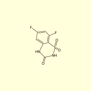 O=C1Nc2cc(F)cc(F)c2S(=O)(=O)N1